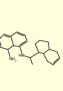 CC(NC1=CC=CC2=CC=CC(N)C21)C1CCCC2CC=CCC21